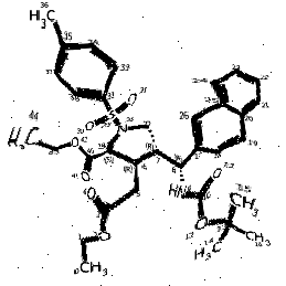 CCOC(=O)C[C@@H]1[C@@H]([C@@H](NC(=O)OC(C)(C)C)c2ccc3ccccc3c2)CN(S(=O)(=O)c2ccc(C)cc2)[C@@H]1C(=O)OCC